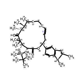 Cc1nc2cc([C@@H]3C/C=C/CCC[C@H](C)[C@H](C)[C@@H](C)C(=O)C(C)(C)[C@@H](O[Si](C)(C)C(C)(C)C)CC(=O)O3)ccc2n1C